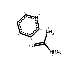 CC(=O)NC(N)=O.c1ccncc1